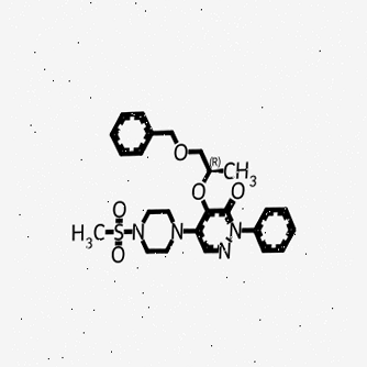 C[C@H](COCc1ccccc1)Oc1c(N2CCN(S(C)(=O)=O)CC2)cnn(-c2ccccc2)c1=O